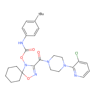 CC(C)(C)c1ccc(NC(=O)ON2C(C(=O)N3CCN(c4ncccc4Cl)CC3)=NOC23CCCCC3)cc1